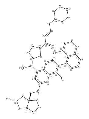 CN(c1nc(OC[C@@]23CCCN2C[C@H](F)C3)nc2c(F)c(-c3cccc4cccc(Cl)c34)ncc12)[C@@H]1CCN(C(=O)/C=C/CN2CCOCC2)C1